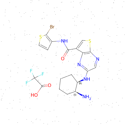 N[C@H]1CCCC[C@H]1Nc1cnc2scc(C(=O)Nc3ccsc3Br)c2n1.O=C(O)C(F)(F)F